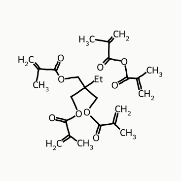 C=C(C)C(=O)OC(=O)C(=C)C.C=C(C)C(=O)OCC(CC)(COC(=O)C(=C)C)COC(=O)C(=C)C